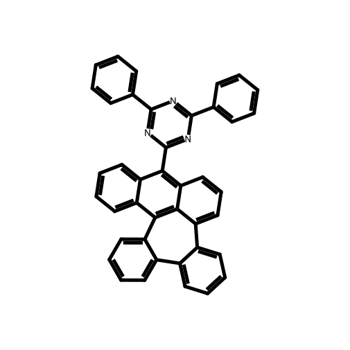 c1ccc(-c2nc(-c3ccccc3)nc(-c3c4ccccc4c4c5c(cccc35)-c3ccccc3-c3ccccc3-4)n2)cc1